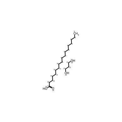 CCCCCCCCCCCCCCCCCC(=O)O.OCCCO